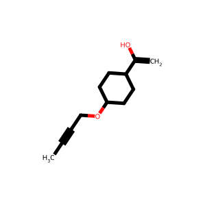 C=C(O)C1CCC(OCC#CC)CC1